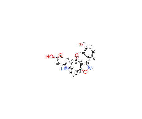 Cc1onc(-c2cccc(Br)c2)c1C(=O)c1c[nH]c(CC(=O)O)c1